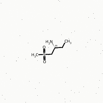 CC[C@@H](N)CS(C)(=O)=O